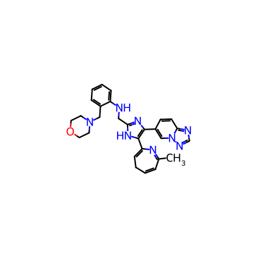 CC1=NC(c2[nH]c(CNc3ccccc3CN3CCOCC3)nc2-c2ccc3ncnn3c2)=CCC=C1